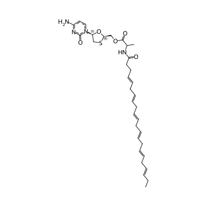 CCC=CCC=CCC=CCC=CCC=CCC=CCCC(=O)NC(C)C(=O)OC[C@@H]1O[C@H](n2ccc(N)nc2=O)CS1